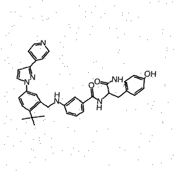 CC(C)(C)c1ccc(-n2ccc(-c3ccncc3)n2)cc1CNc1cccc(C(=O)NC(Cc2ccc(O)cc2)C(N)=O)c1